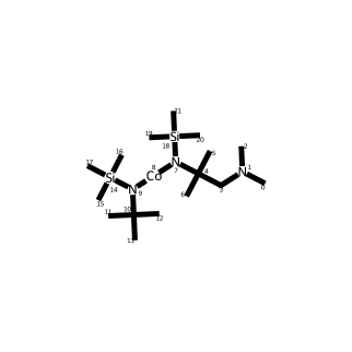 CN(C)CC(C)(C)[N]([Co][N](C(C)(C)C)[Si](C)(C)C)[Si](C)(C)C